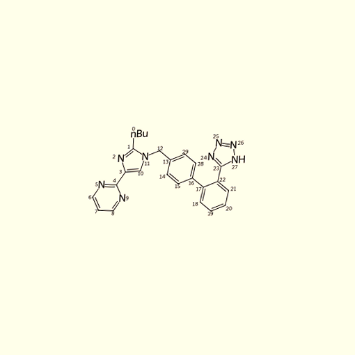 CCCCc1nc(-c2ncccn2)cn1Cc1ccc(-c2ccccc2-c2nnn[nH]2)cc1